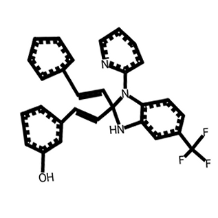 Oc1cccc(C=CC2(C=Cc3ccccc3)Nc3cc(C(F)(F)F)ccc3N2c2ccccn2)c1